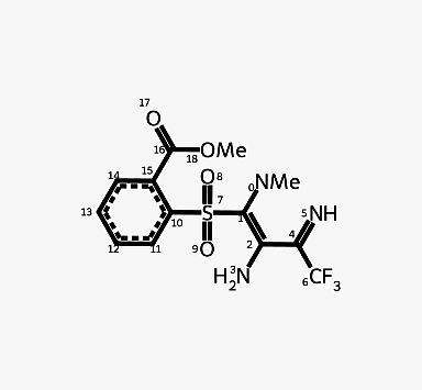 CN/C(=C(/N)C(=N)C(F)(F)F)S(=O)(=O)c1ccccc1C(=O)OC